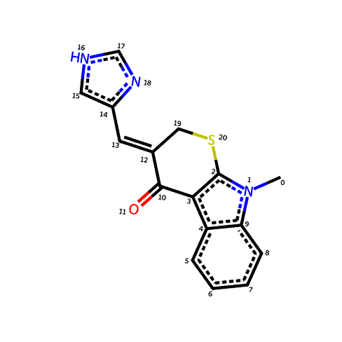 Cn1c2c(c3ccccc31)C(=O)C(=Cc1c[nH]cn1)CS2